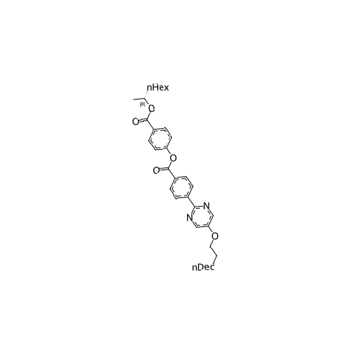 CCCCCCCCCCCCOc1cnc(-c2ccc(C(=O)Oc3ccc(C(=O)O[C@H](C)CCCCCC)cc3)cc2)nc1